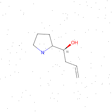 C=CC[C@H](O)C1CCC[N]1